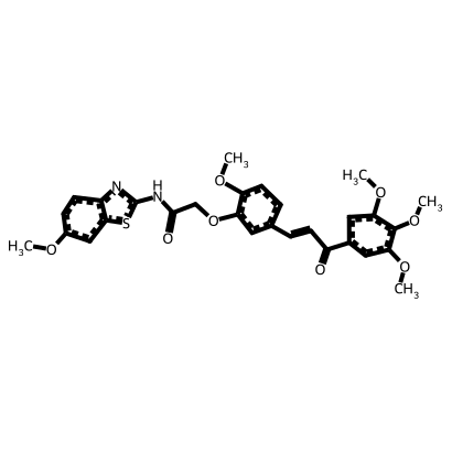 COc1ccc2nc(NC(=O)COc3cc(/C=C/C(=O)c4cc(OC)c(OC)c(OC)c4)ccc3OC)sc2c1